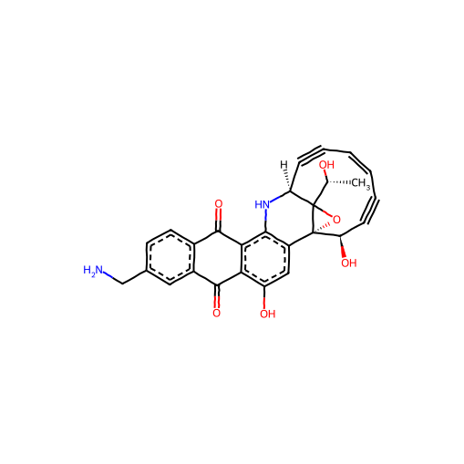 C[C@@H](O)C12O[C@]13c1cc(O)c4c(c1N[C@H]2C#C/C=C\C#C[C@H]3O)C(=O)c1ccc(CN)cc1C4=O